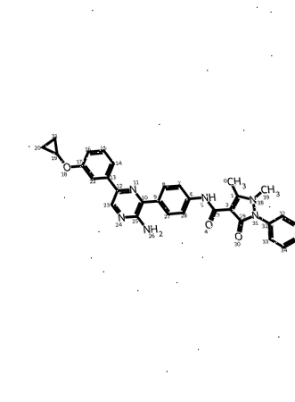 Cc1c(C(=O)Nc2ccc(-c3nc(-c4cccc(OC5CC5)c4)cnc3N)cc2)c(=O)n(-c2ccccc2)n1C